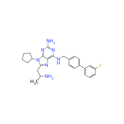 CC(N)Cc1nc2c(NCc3ccc(-c4cccc(F)c4)cc3)nc(N)nc2n1C1CCCC1